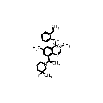 C=Cc1ccccc1N[C@@H](C)c1cc(C)cc(C(=C)N2CCCC(C)(F)C2)c1/N=C\NC